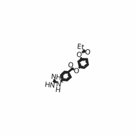 CCC(=O)Oc1cccc(OC(=O)c2ccc(NC(=N)N)cc2)c1